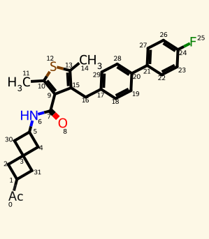 CC(=O)C1CC2(CC(NC(=O)c3c(C)sc(C)c3Cc3ccc(-c4ccc(F)cc4)cc3)C2)C1